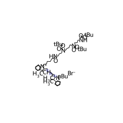 CCCCN1/C(=C/C=C/C=C/C2=[N+](CCCCCC(=O)NCCCN(CCCCN(CCCNC(=O)OC(C)(C)C)C(=O)OC(C)(C)C)C(=O)OC(C)(C)C)c3ccccc3C2(C)C)C(C)(C)c2ccccc21.[Br-]